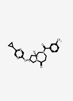 O=C(c1cccc(C(F)(F)F)c1)N1CCC(=O)N2C[C@@H](Oc3cnc(C4CC4)cn3)C[C@@H]2C1